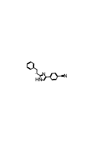 N#Cc1ccc(-c2c[nH]c([CH]Cc3ccccc3)n2)cc1